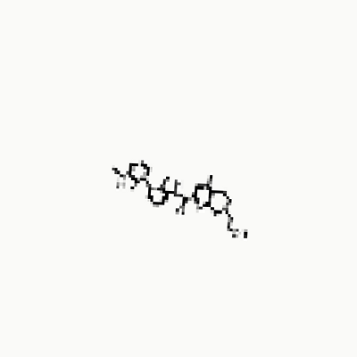 CNc1cccc(-c2cccc(NC(=O)c3cc(C)c4c(n3)CN(CCO)CC4)c2C)c1C